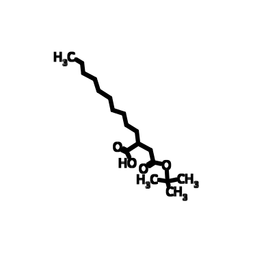 CCCCCCCCCCC(CC(=O)OC(C)(C)C)C(=O)O